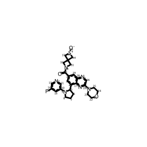 O=C(c1cc(C2CCCN2c2cncc(F)c2)c2nc(N3CCOCC3)cnc2c1)N1CC2(C1)C[S+]([O-])C2